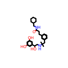 CC(C)(Cc1cccc(CCC(=O)NCC2CCCCC2)c1)NCC(O)c1cc(O)cc(O)c1